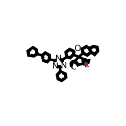 c1ccc(-c2ccc(-c3nc(-c4ccccc4)nc(-c4ccc5c(c4)C4(c6cc7ccccc7cc6O5)c5ccccc5-c5ccccc54)n3)cc2)cc1